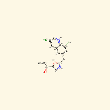 COC(=O)c1cnc(Cc2cc(F)c3ncc(Cl)cc3c2)o1